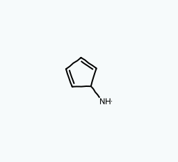 [NH]C1C=CC=C1